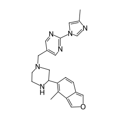 Cc1cn(-c2ncc(CN3CCNC(c4ccc5cocc5c4C)C3)cn2)cn1